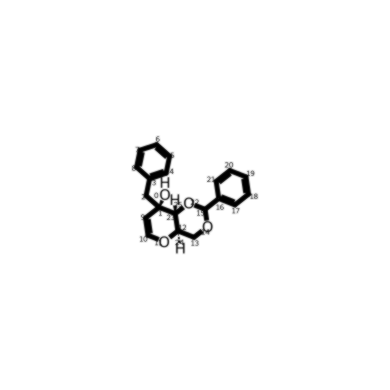 O[C@]1(Cc2ccccc2)C=CO[C@@H]2COC(c3ccccc3)O[C@H]21